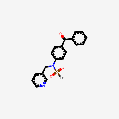 CCS(=O)(=O)N(Cc1cccnc1)c1ccc(C(=O)c2ccccc2)cc1